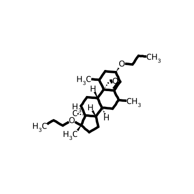 CCCO[C@@H]1C=C2C(C)C[C@H]3[C@@H]4CC[C@](C)(OCCC)[C@@]4(C)CC[C@@H]3[C@@]2(C=O)C(C)C1